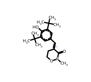 CN1OCC/C(=C\c2cc(C(C)(C)C)c(O)c(C(C)(C)C)c2)C1=O